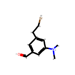 CN(C)c1cc(C=O)cc(CCBr)c1